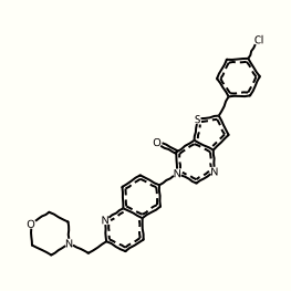 O=c1c2sc(-c3ccc(Cl)cc3)cc2ncn1-c1ccc2nc(CN3CCOCC3)ccc2c1